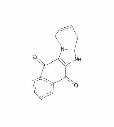 O=C1C2=C(C(=O)c3ccccc31)N1CC=CCC1N2